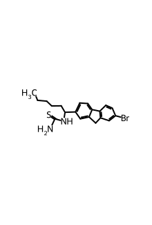 CCCCCC(NC(N)=S)c1ccc2c(c1)Cc1cc(Br)ccc1-2